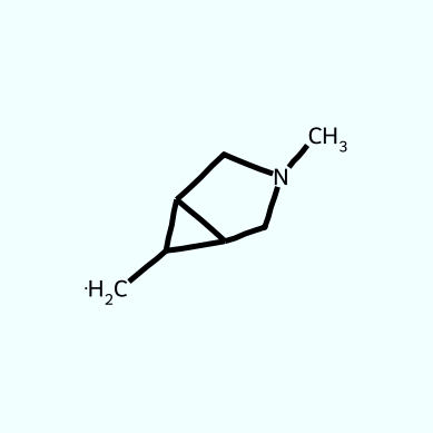 [CH2]C1C2CN(C)CC12